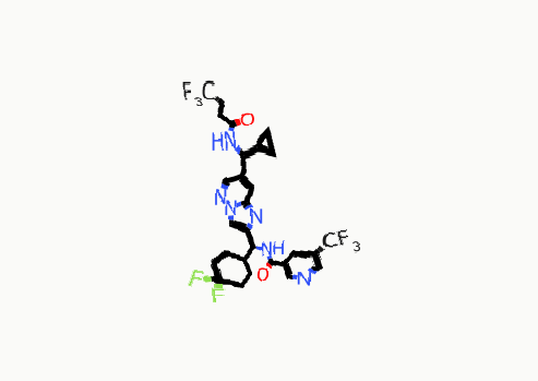 O=C(CCC(F)(F)F)NC(c1cnn2cc([C@@H](NC(=O)c3cncc(C(F)(F)F)c3)C3CCC(F)(F)CC3)nc2c1)C1CC1